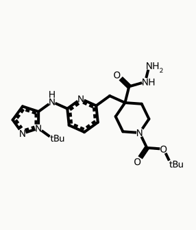 CC(C)(C)OC(=O)N1CCC(Cc2cccc(Nc3ccnn3C(C)(C)C)n2)(C(=O)NN)CC1